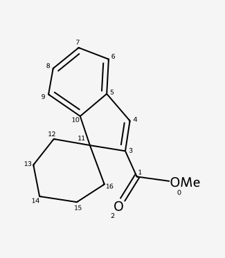 COC(=O)C1=Cc2ccccc2C12CCCCC2